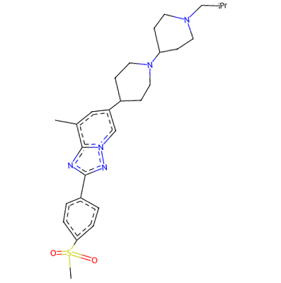 Cc1cc(C2CCN(C3CCN(CC(C)C)CC3)CC2)cn2nc(-c3ccc(S(C)(=O)=O)cc3)nc12